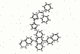 C1=Cc2ccc(-c3c4ccccc4c(-c4ccc5ccccc5c4)c4ccc(-c5ccc(-c6ccc(C=C(c7ccccc7)c7ccccc7)s6)s5)cc34)cc2CC1